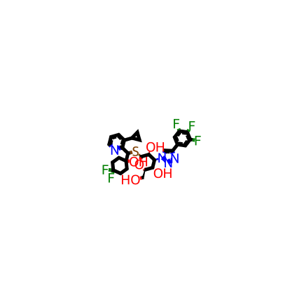 OC[C@H]1O[C@@H](SC(c2ncccc2C2CC2)C2(O)CCC(F)(F)CC2)[C@H](O)[C@@H](n2cc(-c3cc(F)c(F)c(F)c3)nn2)[C@H]1O